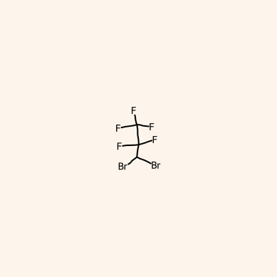 FC(F)(F)C(F)(F)C(Br)Br